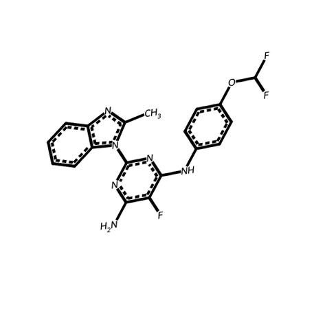 Cc1nc2ccccc2n1-c1nc(N)c(F)c(Nc2ccc(OC(F)F)cc2)n1